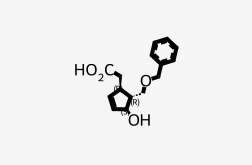 O=C(O)C[C@@H]1C=C[C@H](O)[C@H]1COCc1ccccc1